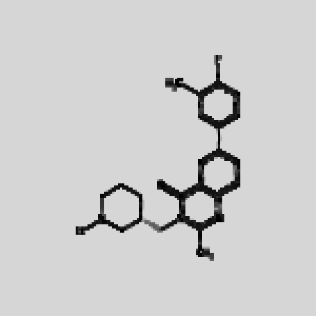 CCN1CCC[C@H](Cn2c(C)nc3ccc(-c4ccc(F)c(C)c4)cc3c2=O)C1